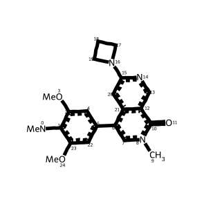 CNc1c(OC)cc(-c2cn(C)c(=O)c3cnc(N4CCC4)cc23)cc1OC